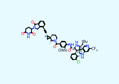 COc1cc(C(=O)N2CCC[C@]3(C[C@@H]3C#Cc3cccc4c3CN(C3CCC(=O)NC3=O)C4=O)[C@H]2C)ccc1NC(=O)[C@@H]1N[C@@H](CC(C)(C)C)[C@@]2(CNc3cc(C(F)(F)F)ncc32)[C@H]1c1cccc(Cl)c1F